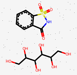 O=C1NS(=O)(=O)c2ccccc21.OCC(O)C(O)C(O)C(O)CO